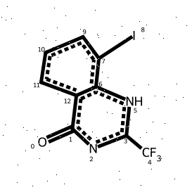 O=c1nc(C(F)(F)F)[nH]c2c(I)cccc12